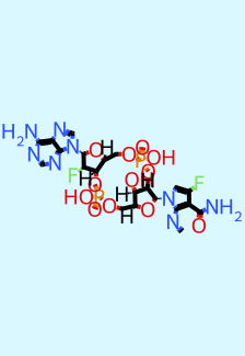 C=Nc1c(C(N)=O)c(F)cn1[C@@H]1O[C@@H]2COP(=O)(O)O[C@H]3[C@@H](F)[C@H](n4cnc5c(N)ncnc54)O[C@@H]3COP(=O)(O)O[C@@H]1[C@@H]2O